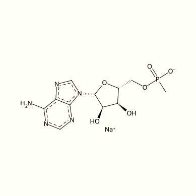 CP(=O)([O-])OC[C@H]1O[C@@H](n2cnc3c(N)ncnc32)[C@H](O)[C@@H]1O.[Na+]